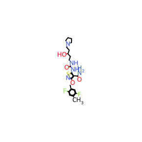 Cc1cc(F)c(COc2nsc(NC(=O)NCCC(O)CCN3CCCC3)c2C(N)=O)cc1F